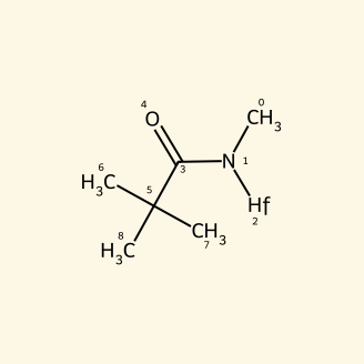 C[N]([Hf])C(=O)C(C)(C)C